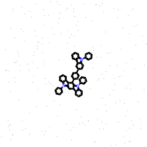 c1ccc(-n2c3ccccc3c3cc(-c4ccc(-c5c6c7ccccc7n(-c7ccccc7)c6cc6c7ccccc7n(-c7ccccc7)c56)cc4)ccc32)cc1